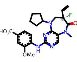 C=C[C@]1(F)CN(C2CCCC2)c2nc(Nc3ccc(C(=O)O)cc3OC)ncc2N(C)C1=O